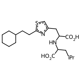 CC(C)CC(NC(Cc1csc(CCC2CCCCC2)n1)C(=O)O)C(=O)O